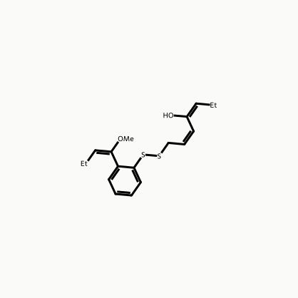 CC/C=C(O)\C=C/CSSc1ccccc1/C(=C\CC)OC